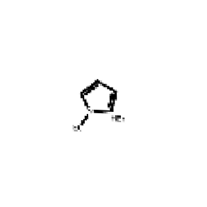 Br.CCn1cccc1